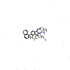 C#C/C=C1\C(=C/CI)C(C)(C)c2cc(-c3cccc4c3C=CCC4)ccc21